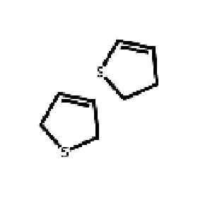 C1=CCSC1.C1=CSCC1